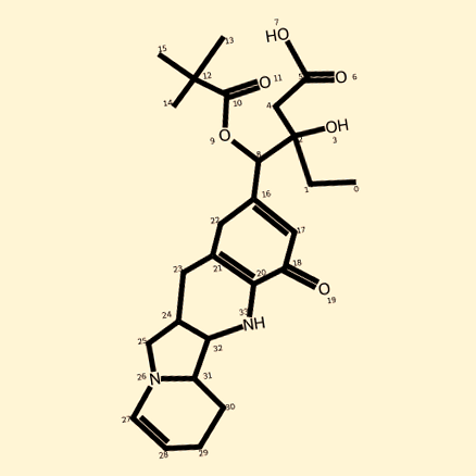 CCC(O)(CC(=O)O)C(OC(=O)C(C)(C)C)C1=CC(=O)C2=C(C1)CC1CN3C=CCCC3C1N2